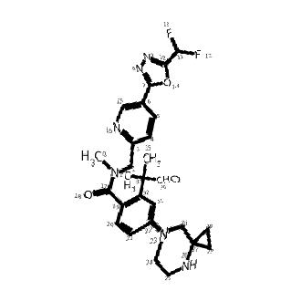 CN(Cc1ccc(-c2nnc(C(F)F)o2)cn1)C(=O)c1ccc(N2CCNC3(CC3)C2)cc1C(C)(C)C=O